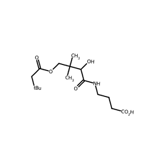 CC(C)(C)CC(=O)OCC(C)(C)C(O)C(=O)NCCCC(=O)O